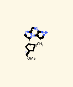 CO/C=C1\C[C@@H](C)[C@@H](c2cnc3cnc4[nH]ccc4n23)C1